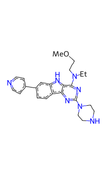 CCN(CCOC)c1nc(N2CCNCC2)nc2c1[nH]c1cc(-c3ccncc3)ccc12